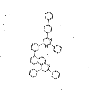 c1ccc(-c2ccc(-c3cc(-c4cccc(-c5cccc6c5ccc5nc(-c7ccccc7)cc(-c7ccccc7)c56)c4)nc(-c4ccccc4)n3)cc2)cc1